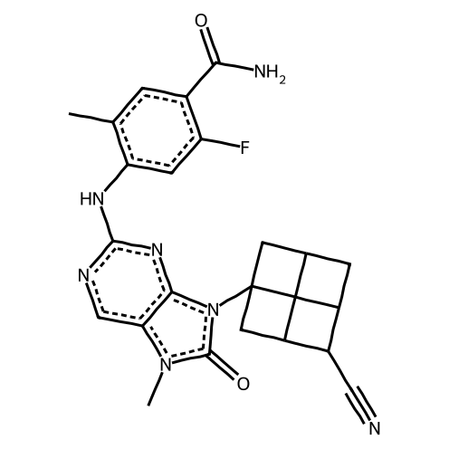 Cc1cc(C(N)=O)c(F)cc1Nc1ncc2c(n1)n(C13CC4CC5C(C#N)C(C1)C453)c(=O)n2C